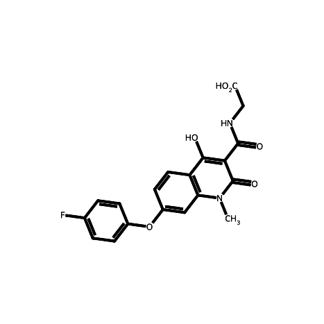 Cn1c(=O)c(C(=O)NCC(=O)O)c(O)c2ccc(Oc3ccc(F)cc3)cc21